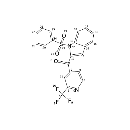 O=C(c1ccnc(C(F)(F)F)c1)c1cc2ccccc2n1S(=O)(=O)c1ccccc1